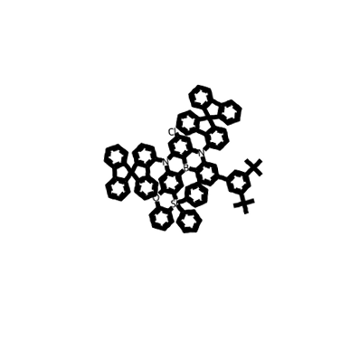 CC(C)(C)c1cc(-c2ccc3c(c2)N(c2cccc4c2-c2ccccc2C42c4ccccc4-c4ccccc42)c2cc(Cl)cc4c2B3c2cc3c(cc2N4c2cccc4c2-c2ccccc2C42c4ccccc4-c4ccccc42)Oc2ccccc2[Si]3(c2ccccc2)c2ccccc2)cc(C(C)(C)C)c1